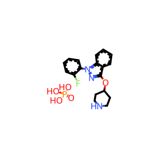 Fc1ccccc1-n1nc(OC2CCNCC2)c2ccccc21.O=P(O)(O)O